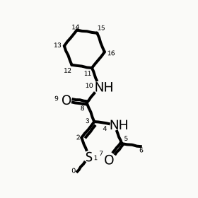 CSC=C(NC(C)=O)C(=O)NC1CCCCC1